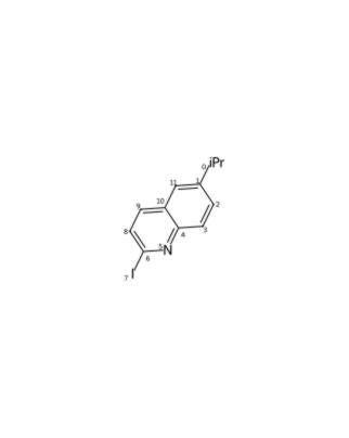 CC(C)c1ccc2nc(I)ccc2c1